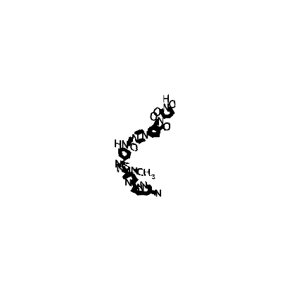 CNc1cc(-c2ccc3cc(C#N)cnn23)ncc1-c1nnc([C@H]2CC[C@@H](NC(=O)CN3CCN(c4ccc5c(c4)C(=O)N(C4CCC(=O)NC4=O)C5=O)CC3)CC2)s1